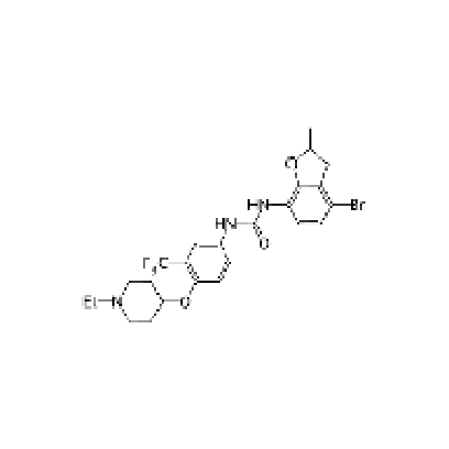 CCN1CCC(Oc2ccc(NC(=O)Nc3ccc(Br)c4c3OC(C)C4)cc2C(F)(F)F)CC1